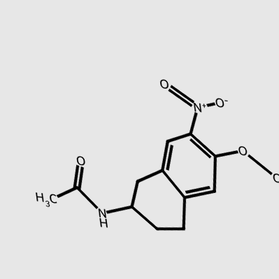 COc1cc2c(cc1[N+](=O)[O-])CC(NC(C)=O)CC2